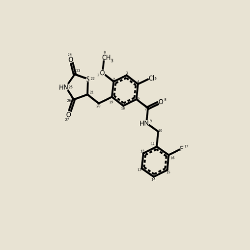 COc1cc(Cl)c(C(=O)NCc2ccccc2F)cc1CC1SC(=O)NC1=O